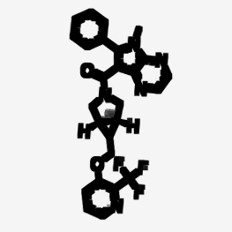 Cn1c(-c2ccccc2)c(C(=O)N2C[C@@H]3C(COc4cccnc4C(F)(F)F)[C@@H]3C2)c2nccnc21